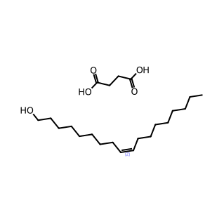 CCCCCCCC/C=C\CCCCCCCCO.O=C(O)CCC(=O)O